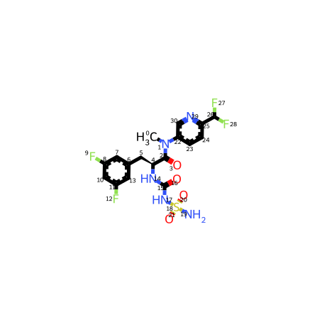 CN(C(=O)[C@H](Cc1cc(F)cc(F)c1)NC(=O)NS(N)(=O)=O)c1ccc(C(F)F)nc1